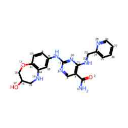 NC(=O)c1cnc(Nc2ccc3c(c2)NCC(O)CO3)nc1NCc1ccccn1